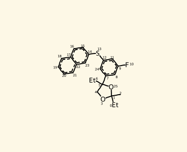 CCC1(C)OCC(CC)(c2cc(F)cc(Sc3ccc4ccccc4c3)c2)O1